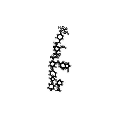 CS(C)(=O)=NC1CCC(CNc2ncc(S(=O)(=O)NC(=O)c3ccc(N4CCC5(CC4)CC(N4CCOC[C@H]4c4ccccc4C4CC4)C5)cc3Oc3cnc4[nH]ccc4c3)cc2[N+](=O)[O-])CC1